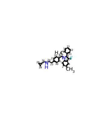 Cc1ccc2c(c1)c(F)c(-c1ccccc1C)n2Cc1ccc(CCNCC2CC2)cc1